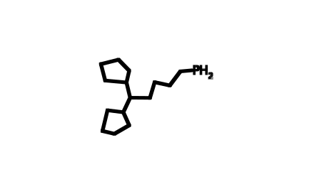 PCCCCC(C1CCCC1)C1CCCC1